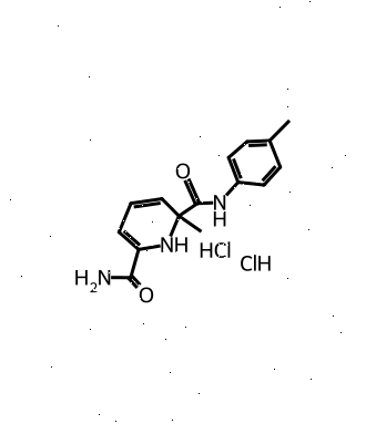 Cc1ccc(NC(=O)C2(C)C=CC=C(C(N)=O)N2)cc1.Cl.Cl